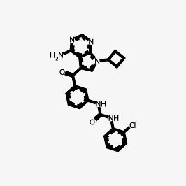 Nc1ncnc2c1c(C(=O)c1cccc(NC(=O)Nc3ccccc3Cl)c1)cn2C1CCC1